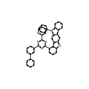 c1ccc(-c2cccc(-c3nc(-c4ccccn4)nc(-c4cccc5oc6cc7c8ccccc8n(-c8ccccc8)c7cc6c45)n3)c2)cc1